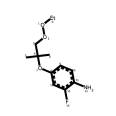 CCOOCC(C)(C)Oc1ccc(N)c(F)c1